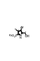 CCOC(=O)c1[nH]c(CO)c(Br)c1I